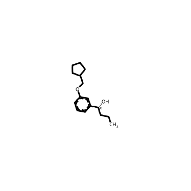 CCC[C@@H](O)c1cccc(OCC2CCCC2)c1